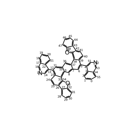 c1ccc2c(-c3cc4cc5c(cc(-c6cncc7ccccc67)c6ccc7c8ccccc8oc7c65)cc4c4c3ccc3c5ccccc5oc34)cncc2c1